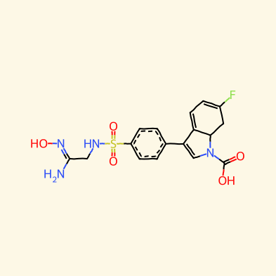 NC(CNS(=O)(=O)c1ccc(C2=CN(C(=O)O)C3CC(F)=CC=C23)cc1)=NO